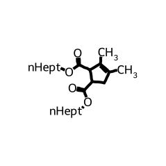 CCCCCCCOC(=O)C1CC(C)=C(C)C1C(=O)OCCCCCCC